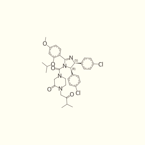 COc1ccc(C2=N[C@@H](c3ccc(Cl)cc3)[C@@H](c3ccc(Cl)cc3)N2C(=O)N2CCN(CC(=O)C(C)C)C(=O)C2)c(OC(C)C)c1